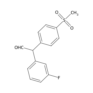 CS(=O)(=O)c1ccc(C(C=O)c2cccc(F)c2)cc1